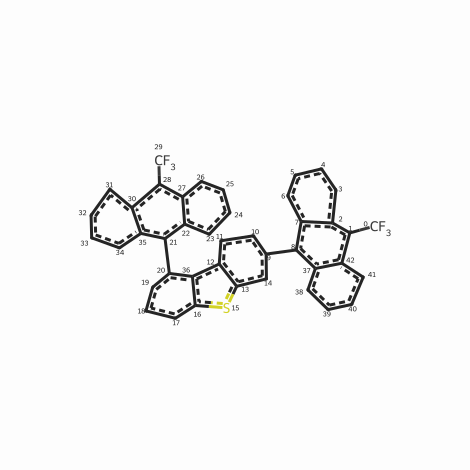 FC(F)(F)c1c2ccccc2c(-c2ccc3c(c2)sc2cccc(-c4c5ccccc5c(C(F)(F)F)c5ccccc45)c23)c2ccccc12